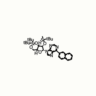 CC(C)(C)[Si](C)(C)O[C@@H]1[C@H]2O[Si](C(C)(C)C)(C(C)(C)C)OC[C@H]2O[C@H]1n1cnc2c(-c3ccc4ccccc4c3)ncnc21